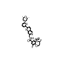 C[C@@H]1CN(c2cccc(-c3ccc4cnc(CNC(=O)c5cc(F)c6c(c5)S(=O)(=O)[C@@H](F)CCO6)cc4n3)n2)C[C@H](C)O1